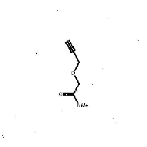 C#CCOCC(=O)NC